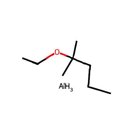 CCCC(C)(C)OCC.[AlH3]